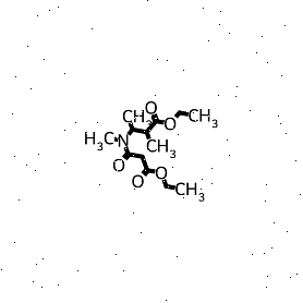 CCOC(=O)CC(=O)N(C)C(C)C(C)C(=O)OCC